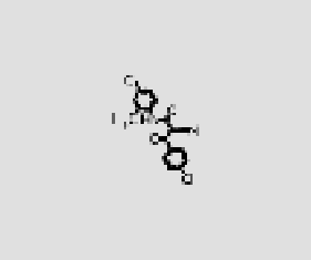 Cc1cc(Cl)ccc1NC(=O)C(C#N)C(=O)c1ccc(Cl)cc1